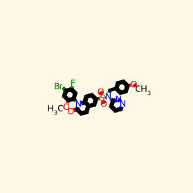 COc1ccc(CN(c2cccnn2)S(=O)(=O)c2ccc3c(ccc(=O)n3-c3cc(F)c(Br)cc3OC)c2)cc1